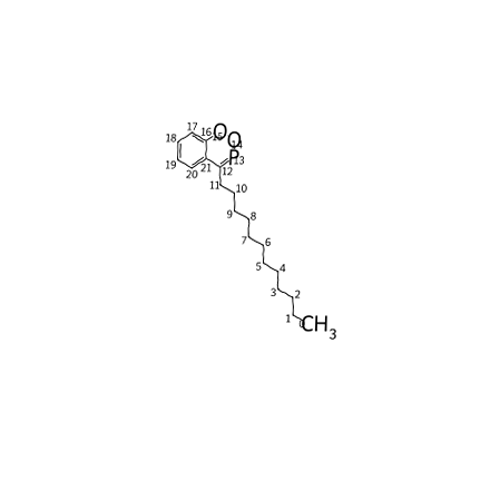 CCCCCCCCCCCCC1=POOc2ccccc21